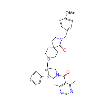 COc1ccc(CN2CCC3(CCN(C[C@H]4CN(C(=O)c5c(C)ncnc5C)C[C@@H]4c4ccccc4)CC3)C2=O)cc1